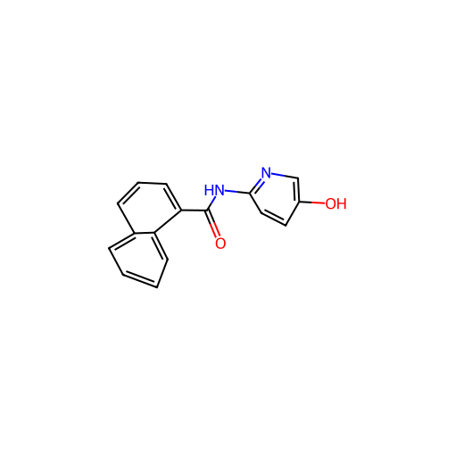 O=C(Nc1ccc(O)cn1)c1cccc2ccccc12